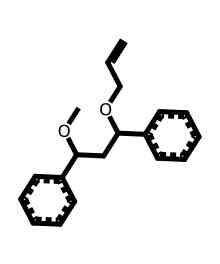 C=CCOC(CC(OC)c1ccccc1)c1ccccc1